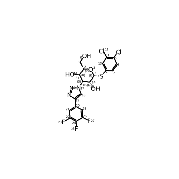 OC[C@H]1O[C@H](Sc2ccc(Cl)c(Cl)c2)[C@H](O)[C@@H](n2cc(-c3cc(F)c(F)c(F)c3)nn2)[C@H]1O